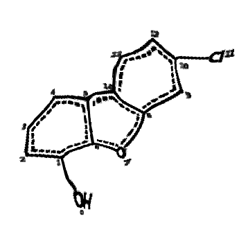 Oc1cccc2c1oc1cc(Cl)ccc12